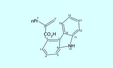 C=C(CCC)C(=O)O.c1ccc2c(c1)[nH]c1ccccc12